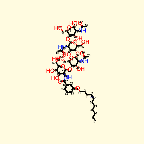 CCCCCC/C=C\CCCOc1cccc(C(=O)NC2[C@H](O[C@H]3C(O)C(NC(C)=O)C(O[C@@H]4C(CO)O[C@@H](O[C@H]5C(O)C(NC(C)=O)C(O)O[C@H]5CO)C(NC(C)=O)[C@H]4O)O[C@H]3CO)OC(CO)[C@@H](O)[C@@H]2O)c1